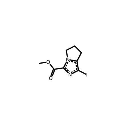 COC(=O)c1nc(I)c2n1CCC2